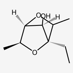 CC[C@@]12O[C@@H](C)[C@@H](OC1C)[C@H]2O